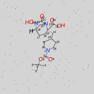 CC(C)(C)OC(=O)N1CCC(C[C@]2(C(=O)O)CC[C@@H]3CN2C(=O)N3O)CC1